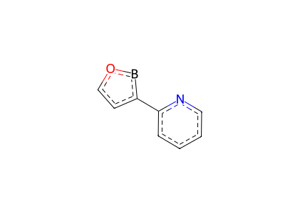 b1occc1-c1ccccn1